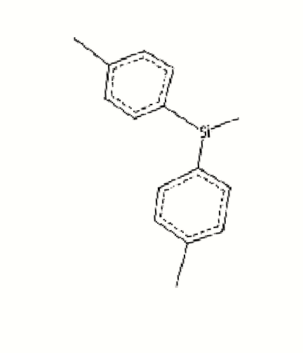 Cc1ccc([Si](C)c2ccc(C)cc2)cc1